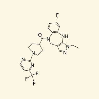 CCn1ncc2c1Nc1cc(F)ccc1N(C(=O)C1CCN(c3nccc(C(F)(F)F)n3)CC1)C2